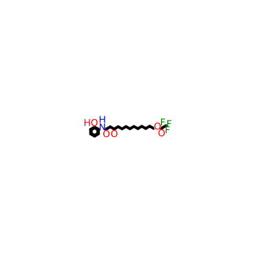 O=C(CCCCCCCCCCOC(=O)C(F)(F)F)CC(=O)Nc1ccccc1O